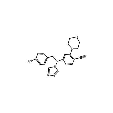 N#Cc1ccc(N(Cc2ccc(N)cc2)n2cnnc2)cc1N1CCOCC1